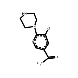 CC(=O)c1cnc(N2CCNCC2)c(Cl)c1